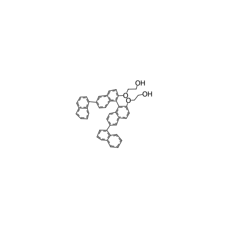 OCCOc1ccc2cc(-c3cccc4ccccc34)ccc2c1-c1c(OCCO)ccc2cc(-c3cccc4ccccc34)ccc12